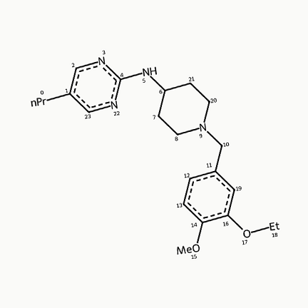 CCCc1cnc(NC2CCN(Cc3ccc(OC)c(OCC)c3)CC2)nc1